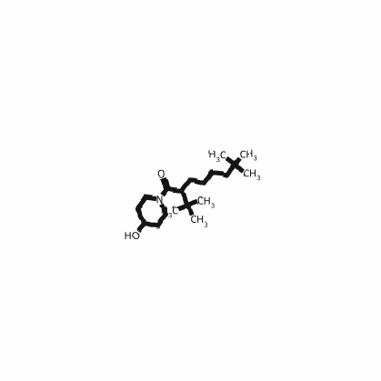 CC(C)(C)CCCCC(C(=O)N1CCC(O)CC1)C(C)(C)C